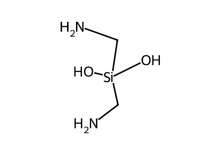 NC[Si](O)(O)CN